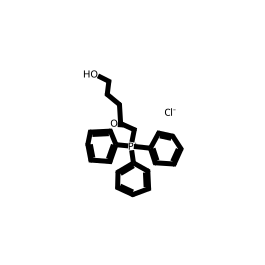 O=C(CCCO)C[P+](c1ccccc1)(c1ccccc1)c1ccccc1.[Cl-]